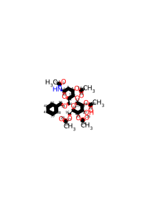 CC(=O)N[C@H]1C[C@@H](OC(C)=O)[C@H](O[C@H]2O[C@@H](COC(C)=O)[C@@H](OC(C)=O)[C@@H](O)[C@@H]2OC(C)=O)[C@@H](COCc2ccccc2)O1